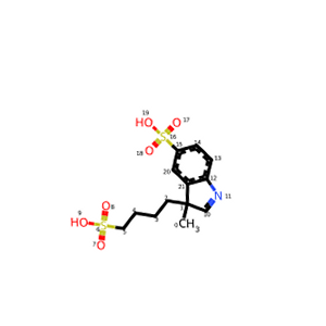 CC1(CCCCS(=O)(=O)O)C=Nc2ccc(S(=O)(=O)O)cc21